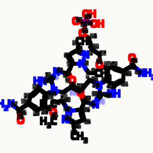 CCn1nc(C)cc1C(=O)/N=c1/[nH]c2cc(C(N)=O)cc(OC)c2n1C/C=C/Cn1/c(=N\C(=O)c2cc(C)nn2CC)[nH]c2cc(C(N)=O)cc(OCCCOP(=O)(O)O)c21